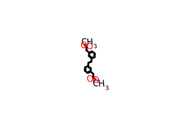 COC(=O)Cc1cccc(CCc2cccc(CC(=O)OC)c2)c1